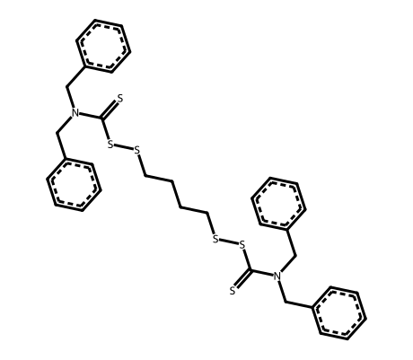 S=C(SSCCCCSSC(=S)N(Cc1ccccc1)Cc1ccccc1)N(Cc1ccccc1)Cc1ccccc1